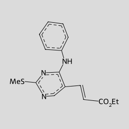 CCOC(=O)C=Cc1cnc(SC)nc1Nc1ccccc1